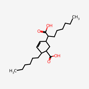 CCCCCCC1C=CC(C(CCCCCC)C(=O)O)CC1C(=O)O